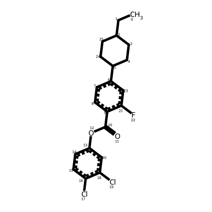 CCC1CCC(c2ccc(C(=O)Oc3ccc(Cl)c(Cl)c3)c(F)c2)CC1